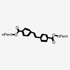 CCCCCOC(=O)c1ccc(C=Cc2ccc(C(=O)OCCCCC)cc2)cc1